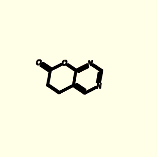 O=C1CCc2cncnc2O1